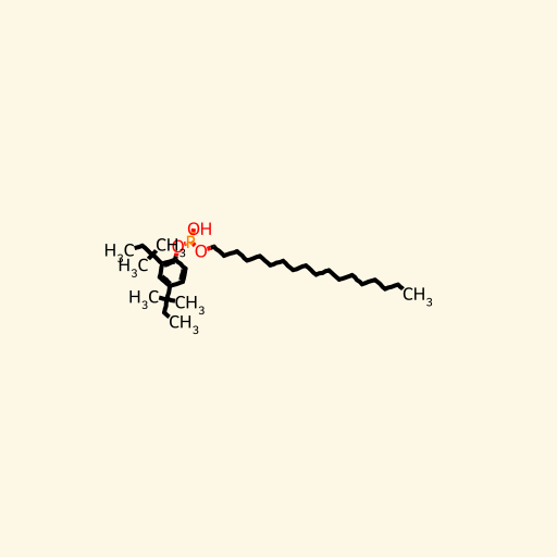 CCCCCCCCCCCCCCCCCCOP(O)Oc1ccc(C(C)(C)CC)cc1C(C)(C)CC